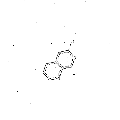 [CH2]Cc1cc2cccnc2cn1.[H+]